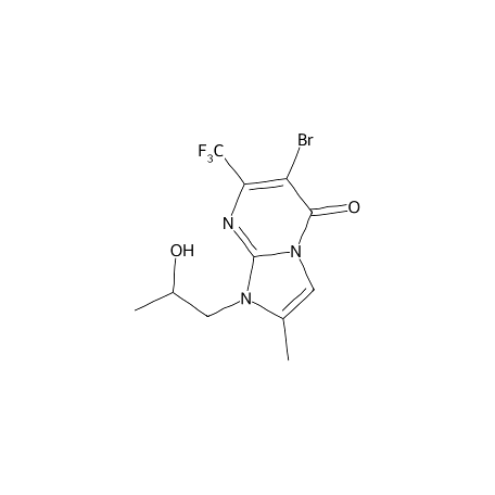 Cc1cn2c(=O)c(Br)c(C(F)(F)F)nc2n1CC(C)O